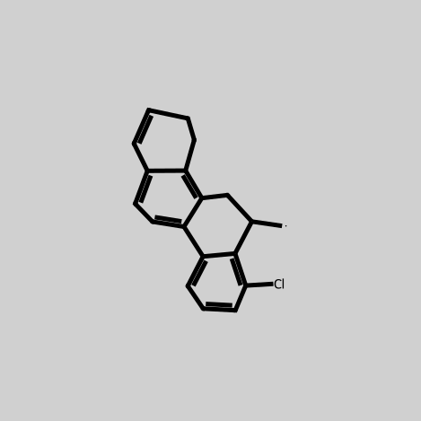 [CH2]C1Cc2c(ccc3c2CCC=C3)-c2cccc(Cl)c21